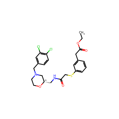 CCOC(=O)Cc1cccc(SCC(=O)NC[C@H]2CN(Cc3ccc(Cl)c(Cl)c3)CCO2)c1